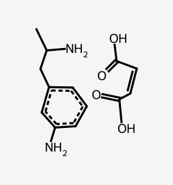 CC(N)Cc1cccc(N)c1.O=C(O)/C=C\C(=O)O